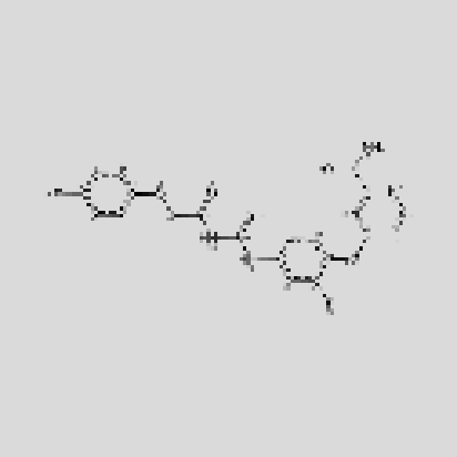 NC(=O)c1n[c]cc(Oc2ccc(NC(=S)NC(=O)COc3ccc(F)cc3)cc2F)n1